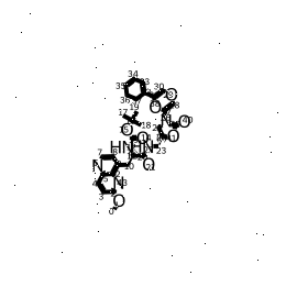 COc1ccc2nccc(C[C@@H](NC(=O)OC(C)(C)C)C(=O)NC[C@@H]3CN(C4=COC=C(C5=CC=CCC5)O4)C(=O)O3)c2n1